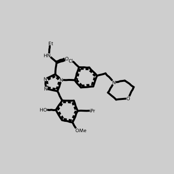 CCNC(=O)c1nnc(-c2cc(C(C)C)c(OC)cc2O)n1-c1ccc(CN2CCOCC2)cc1Cl